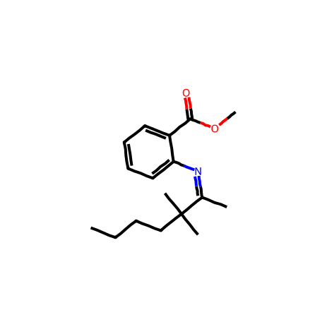 CCCCC(C)(C)C(C)=Nc1ccccc1C(=O)OC